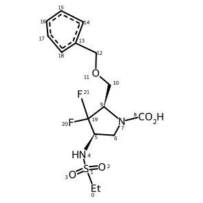 CCS(=O)(=O)N[C@@H]1CN(C(=O)O)[C@H](COCc2ccccc2)C1(F)F